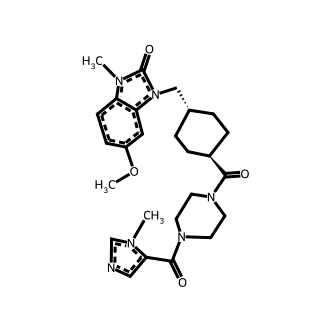 COc1ccc2c(c1)n(C[C@H]1CC[C@H](C(=O)N3CCN(C(=O)c4cncn4C)CC3)CC1)c(=O)n2C